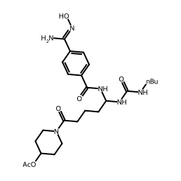 CCCCNC(=O)NC(CCCC(=O)N1CCC(OC(C)=O)CC1)NC(=O)c1ccc(C(N)=NO)cc1